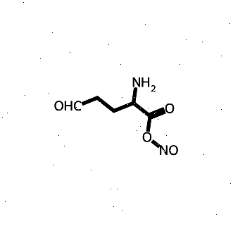 NC(CCC=O)C(=O)ON=O